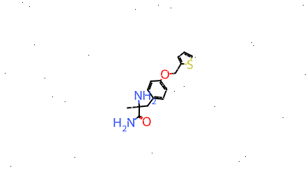 CC(N)(Cc1ccc(OCc2cccs2)cc1)C(N)=O